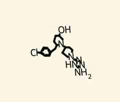 Nc1nnc(N2CCC(N3CC(O)CCC3Cc3ccc(Cl)cc3)CC2)[nH]1